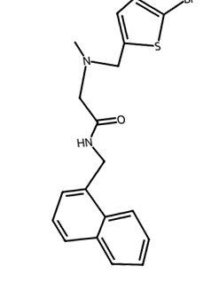 CN(CC(=O)NCc1cccc2ccccc12)Cc1ccc(Br)s1